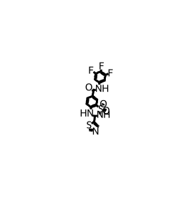 O=C(Nc1cc(F)c(F)c(F)c1)c1ccc2c(c1)S(=O)(=O)NC(c1cncs1)N2